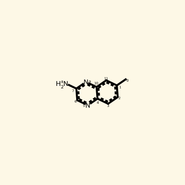 Cc1ccc2ncc(N)nc2c1